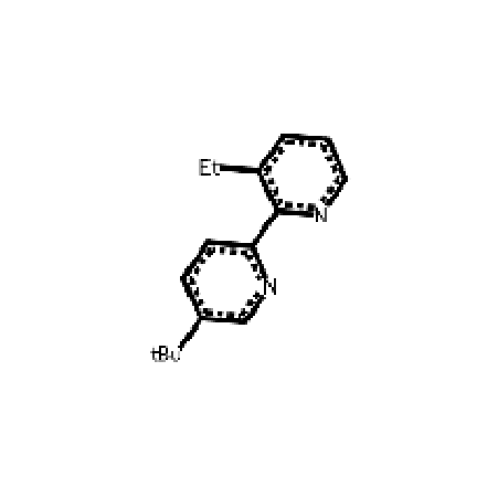 CCc1cccnc1-c1ccc(C(C)(C)C)cn1